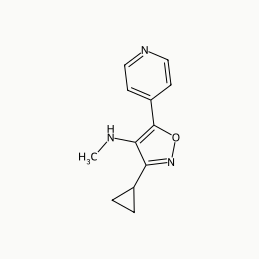 CNc1c(C2CC2)noc1-c1ccncc1